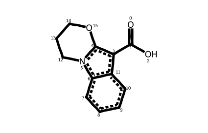 O=C(O)c1c2n(c3ccccc13)CCCO2